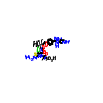 C[C@H]1[C@H](NC(=O)C(=NOC(COc2ccc(C(=N)NC3CCNC3)cc2)C(=O)O)c2nc(N)sc2Cl)C(=O)N1S(=O)(=O)O